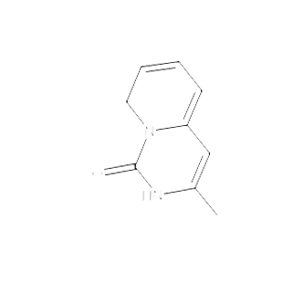 CC1=CC2=CC=CCN2C(=O)N1